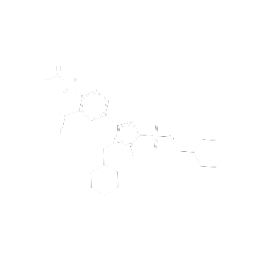 Cc1c(S(=O)(=O)NCC2CCOCC2)cc(-c2ccc(S(=O)(=O)NC(C)(C)C)c(C(F)F)c2)n1CC1CCCCC1